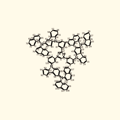 c1cc(-c2cc(-c3cccc(-n4c5ccccc5c5cc(N(c6cccc7ccccc67)c6cccc7ccccc67)ccc54)c3)nc(-c3cccc(-n4c5ccccc5c5cc(N(c6cccc7ccccc67)c6cccc7ccccc67)ccc54)c3)n2)cc(-n2c3ccccc3c3cc(N(c4cccc5ccccc45)c4cccc5ccccc45)ccc32)c1